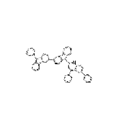 c1ccc(-c2ccc3nc(-n4c5ccccc5c5cc(-c6ccc7c(c6)c6ccccc6n7-c6ccccc6)ccc54)cc(-c4ccccc4)c3c2)cc1